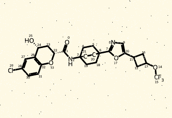 O=C(NC12CCC(c3ncc(C4CC(OC(F)(F)F)C4)o3)(CC1)CC2)[C@H]1C[C@@H](O)c2cc(Cl)ccc2O1